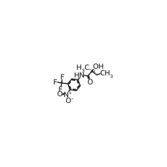 CC[C@](C)(O)C(=O)Nc1ccc([N+](=O)[O-])c(C(F)(F)F)c1